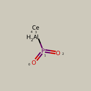 O=[P](=O)[AlH2].[Ce]